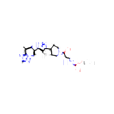 Cc1cc(-c2[nH]nc(C3CCN(C(=O)CCNC(=O)OC(C)(C)C)CC3)c2C(C)C)cn2ncnc12